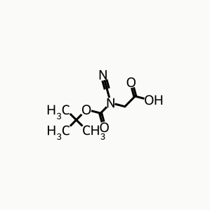 CC(C)(C)OC(=O)N(C#N)CC(=O)O